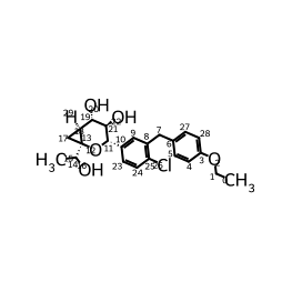 CCOc1ccc(Cc2cc([C@@H]3O[C@@]4(C(C)O)C[C@H]4[C@H](O)[C@H]3O)ccc2Cl)cc1